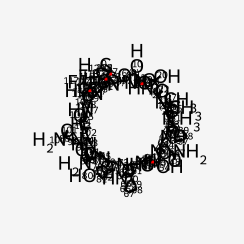 CCCC[C@H]1C(=O)N2C[C@H](O)C[C@@H]2C(=O)N[C@@H](CC(=O)O)C(=O)N[C@@H](C(C)C)C(=O)N(C)[C@@H](Cc2ccccc2)C(=O)N[C@@H](CCC(N)=O)C(=O)N2C[C@H](O)C[C@H]2C(=O)N[C@@H](Cc2c[nH]c3ccccc23)C(=O)N[C@@H](Cc2ccc(O)cc2)C(=O)N[C@@H](CC(N)=O)C(=O)N[C@H](C(=O)NCC(N)=O)CSCC(=O)N[C@@H](Cc2cc(F)c(F)c(F)c2)C(=O)N(C)[C@@H](Cc2ccccc2)C(=O)N1C